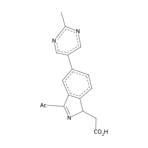 CC(=O)C1=NC(CC(=O)O)c2ccc(-c3cnc(C)nc3)cc21